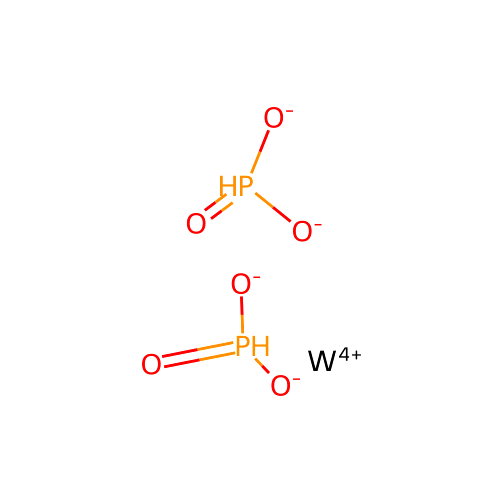 O=[PH]([O-])[O-].O=[PH]([O-])[O-].[W+4]